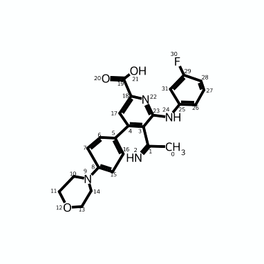 CC(=N)c1c(-c2ccc(N3CCOCC3)cc2)cc(C(=O)O)nc1Nc1cccc(F)c1